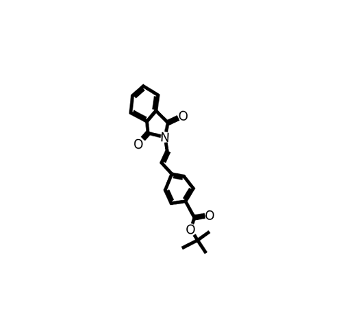 CC(C)(C)OC(=O)c1ccc(C=CN2C(=O)c3ccccc3C2=O)cc1